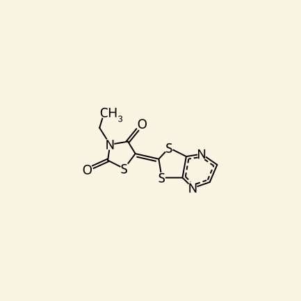 CCN1C(=O)SC(=C2Sc3nccnc3S2)C1=O